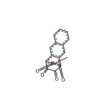 O=C1C(=O)c2c(=O)oc(=O)c1c1cc3ccccc3cc21